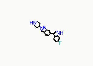 Fc1ccc2c(-c3ccc4cn(C5CCNCC5)nc4c3)c[nH]c2c1